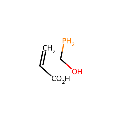 C=CC(=O)O.OCP